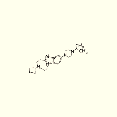 CC(C)N1CCN(c2ccc3c(c2)nc2n3CCN(C3CCC3)CC2)CC1